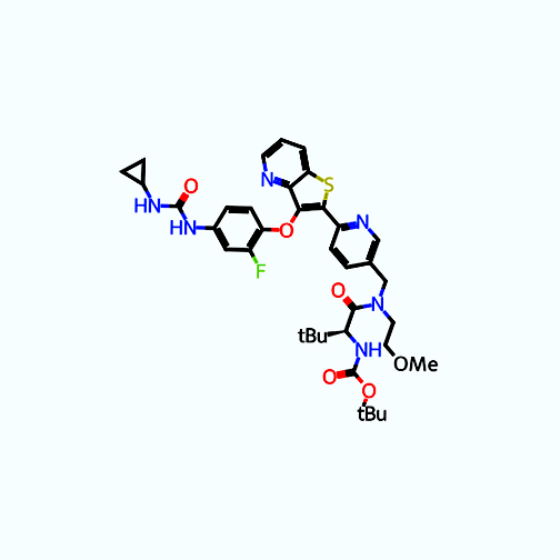 COCCN(Cc1ccc(-c2sc3cccnc3c2Oc2ccc(NC(=O)NC3CC3)cc2F)nc1)C(=O)[C@@H](NC(=O)OC(C)(C)C)C(C)(C)C